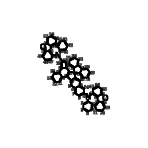 c1ccc(N(c2ccc3cc4c(cc3c2)C2(c3ccccc3-c3ccccc32)c2c-4c3ccccc3c3cc(N(c4ccccc4)c4cccc5oc6ccccc6c45)ccc23)c2cccc3oc4ccccc4c23)cc1